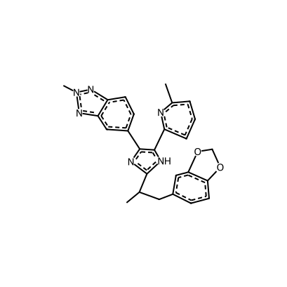 Cc1cccc(-c2[nH]c(C(C)Cc3ccc4c(c3)OCO4)nc2-c2ccc3nn(C)nc3c2)n1